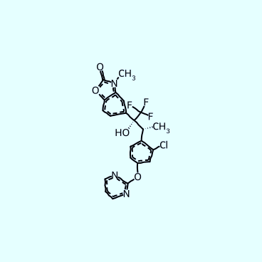 C[C@H](c1ccc(Oc2ncccn2)cc1Cl)[C@@](O)(c1ccc2oc(=O)n(C)c2c1)C(F)(F)F